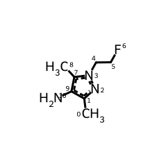 Cc1nn(CCF)c(C)c1N